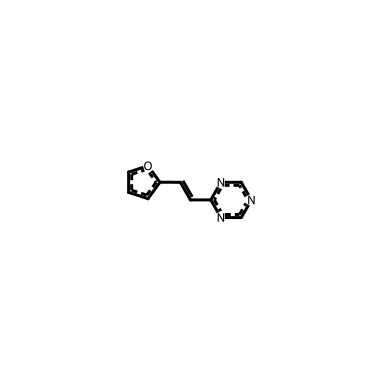 C(=C\c1ccco1)/c1ncncn1